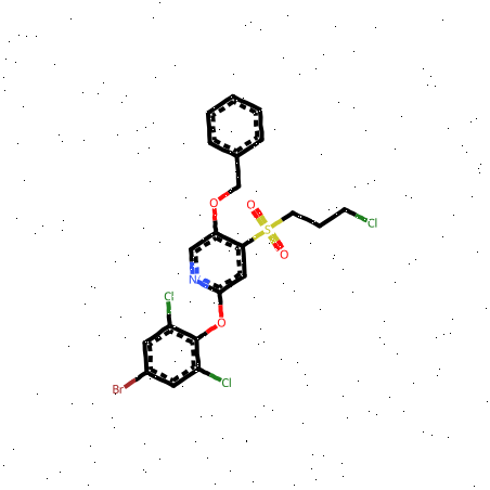 O=S(=O)(CCCCl)c1cc(Oc2c(Cl)cc(Br)cc2Cl)ncc1OCc1ccccc1